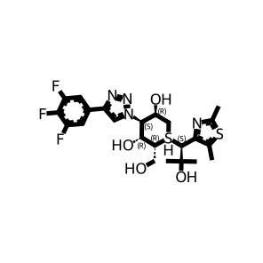 Cc1nc([C@H]([SH]2C[C@H](O)[C@H](n3cc(-c4cc(F)c(F)c(F)c4)nn3)[C@@H](O)[C@H]2CO)C(C)(C)O)c(C)s1